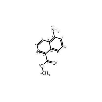 COC(=O)c1nccc2c(N)cccc12